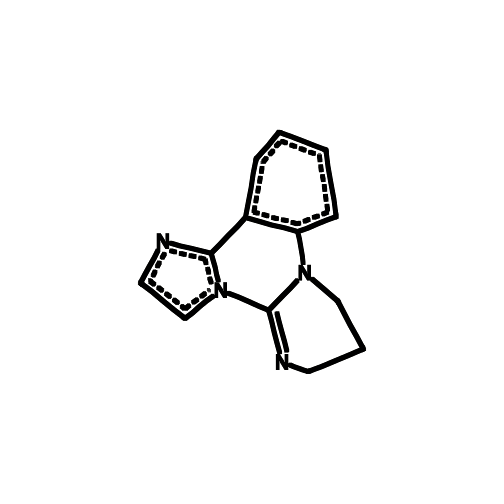 c1ccc2c(c1)-c1nccn1C1=NCCCN12